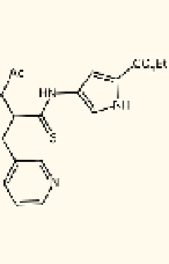 CCOC(=O)c1cc(NC(=S)C(CC(C)=O)Cc2cccnc2)c[nH]1